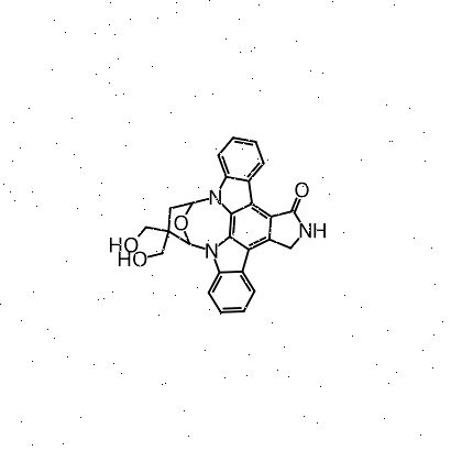 O=C1NCc2c1c1c3ccccc3n3c1c1c2c2ccccc2n1C1OC3CC1(CO)CO